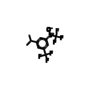 CC(C)c1cc([S+]([O-])C(F)(F)F)cc(C(F)(F)F)c1